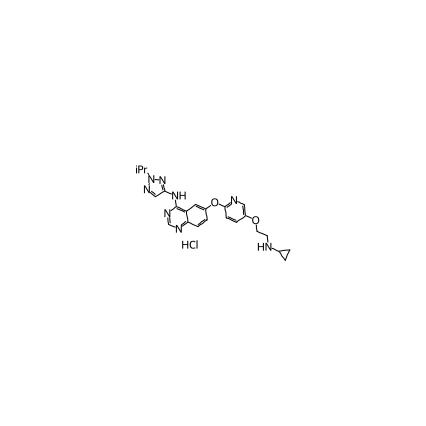 CC(C)n1ncc(Nc2ncnc3ccc(Oc4ccc(OCCNC5CC5)cn4)cc23)n1.Cl